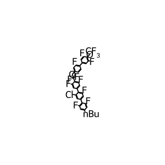 CCCCc1cc(F)c(-c2cc(F)c(-c3cc(F)c(C(F)(F)Oc4ccc(-c5cc(F)c(OC(F)(F)F)c(F)c5)c(F)c4)c(F)c3)c(Cl)c2)c(F)c1